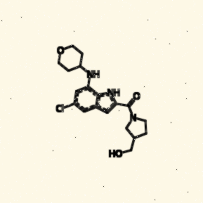 O=C(c1cc2cc(Cl)cc(NC3CCOCC3)c2[nH]1)N1CCC(CO)C1